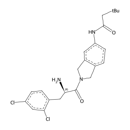 CC(C)(C)CC(=O)Nc1ccc2c(c1)CN(C(=O)[C@H](N)Cc1ccc(Cl)cc1Cl)C2